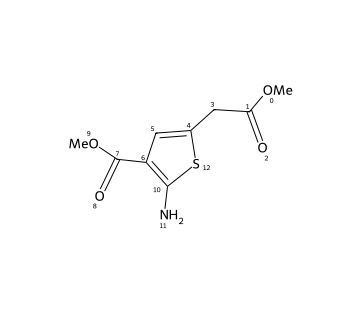 COC(=O)Cc1cc(C(=O)OC)c(N)s1